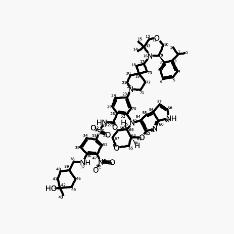 CC(C)c1ccccc1[C@@H]1COCC(C)(C)N1C1CC2(CCN(c3ccc(C(=O)NS(=O)(=O)c4ccc(NCC5CCC(C)(O)CC5)c([N+](=O)[O-])c4)c(N4c5cc6cc[nH]c6nc5O[C@H]5COCC[C@@H]54)c3)CC2)C1